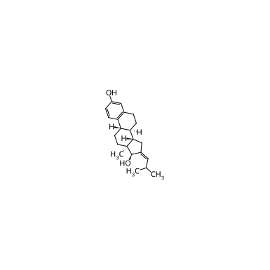 CC(C)C=C1C[C@H]2[C@@H]3CCc4cc(O)ccc4[C@H]3CC[C@]2(C)[C@@H]1O